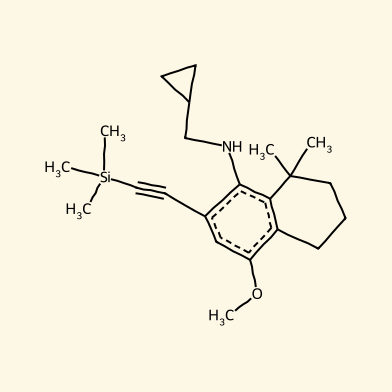 COc1cc(C#C[Si](C)(C)C)c(NCC2CC2)c2c1CCCC2(C)C